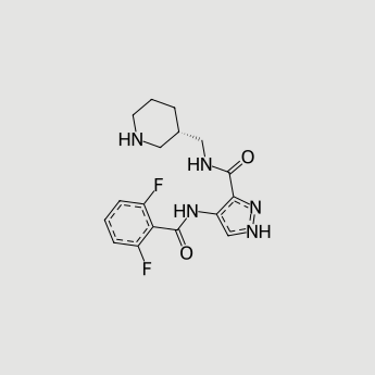 O=C(NC[C@H]1CCCNC1)c1n[nH]cc1NC(=O)c1c(F)cccc1F